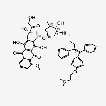 CC/C(=C(\c1ccccc1)c1ccc(OCCN(C)C)cc1)c1ccccc1.COc1cccc2c1C(=O)c1c(O)c3c(c(O)c1C2=O)C[C@@](O)(C(=O)CO)C[C@@H]3O[C@H]1C[C@H](N)[C@@H](O)[C@H](C)O1